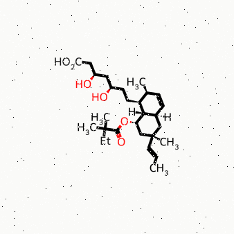 C/C=C/[C@]1(C)C[C@H](OC(=O)C(C)(C)CC)[C@@H]2[C@@H](CC[C@@H](O)C[C@@H](O)CC(=O)O)[C@@H](C)C=C[C@H]2C1